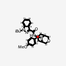 CCC(C)n1nc(C(=O)NC2CC3COCC(C2)N3Cc2ccc(OC)cc2)c2ccccc21